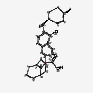 C[C@H]1CC[C@@H](Nc2ncc3cc(CN4C5CCCC4CC(C(=O)O)C5)ccc3c2Cl)CC1